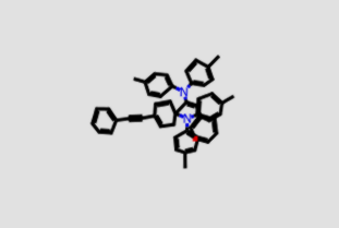 Cc1ccc(N(C(=Cc2ccccc2)C2(N(c3ccc(C)cc3)c3ccc(C)cc3)C=CC(C#Cc3ccccc3)=CC2)c2ccc(C)cc2)cc1